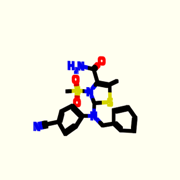 CC1=C(C(N)=O)N(S(C)(=O)=O)C(N(Cc2ccccc2)c2ccc(C#N)cc2)S1